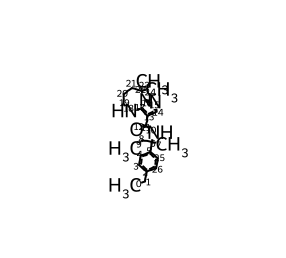 CCc1ccc(C(C)(CC)NC(=O)c2cnn3c2NCCCC3(C)C)cc1